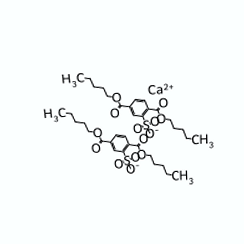 CCCCCOC(=O)c1ccc(C(=O)OCCCCC)c(S(=O)(=O)[O-])c1.CCCCCOC(=O)c1ccc(C(=O)OCCCCC)c(S(=O)(=O)[O-])c1.[Ca+2]